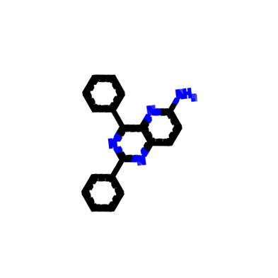 Nc1ccc2nc(-c3ccccc3)nc(-c3ccccc3)c2n1